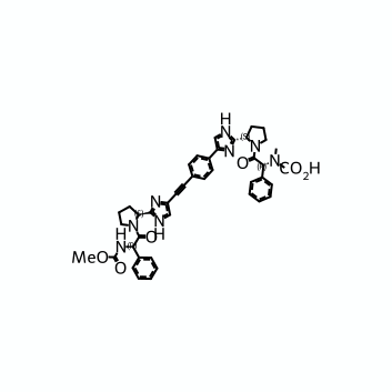 COC(=O)N[C@@H](C(=O)N1CCC[C@H]1c1nc(C#Cc2ccc(-c3c[nH]c([C@@H]4CCCN4C(=O)[C@@H](c4ccccc4)N(C)C(=O)O)n3)cc2)c[nH]1)c1ccccc1